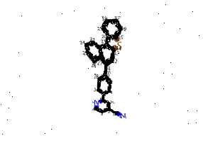 N#Cc1ccnc(-c2ccc(-c3cc4sc5ccccc5c4c4ccccc34)cc2)c1